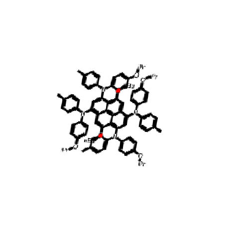 CCCCOc1cc2c(N(c3ccc(C)cc3)c3ccc(OC(C)C)cc3)cc(N(c3ccc(C)cc3)c3ccc(OC(C)C)cc3)c3c(OCCCC)cc4c(N(c5ccc(C)cc5)c5ccc(OC(C)C)cc5)cc(N(c5ccc(C)cc5)c5ccc(OC(C)C)cc5)c1c4c23